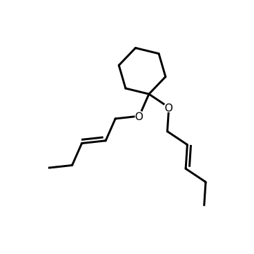 CCC=CCOC1(OCC=CCC)CCCCC1